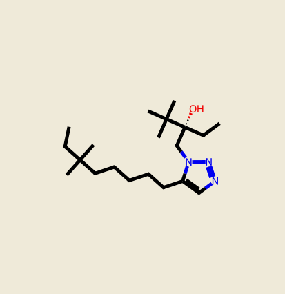 CCC(C)(C)CCCCCc1cnnn1C[C@](O)(CC)C(C)(C)C